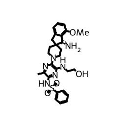 COc1cccc2c1[C@@H](N)C1(CCN(c3nc(C)c(NS(=O)(=O)c4ccccc4)nc3NCCO)CC1)C2